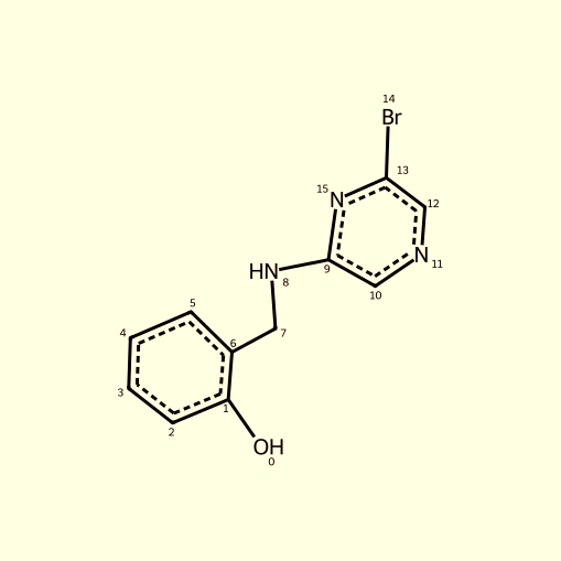 Oc1ccccc1CNc1cncc(Br)n1